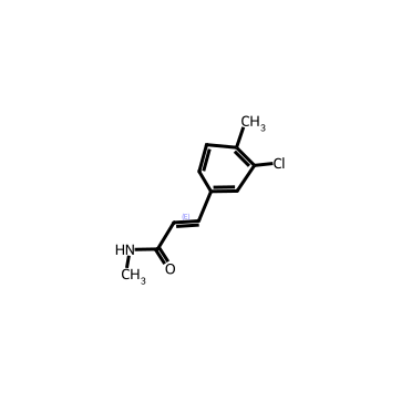 CNC(=O)/C=C/c1ccc(C)c(Cl)c1